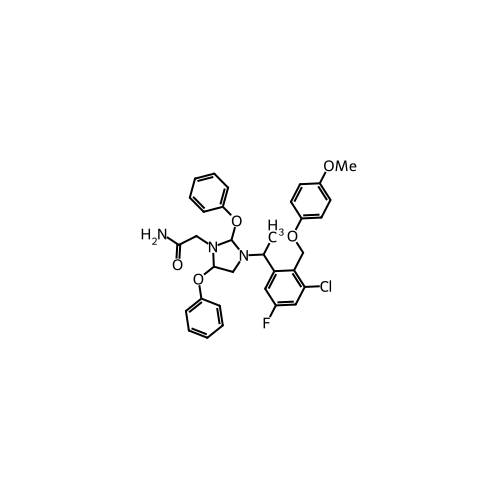 COc1ccc(OCc2c(Cl)cc(F)cc2C(C)N2CC(Oc3ccccc3)N(CC(N)=O)C2Oc2ccccc2)cc1